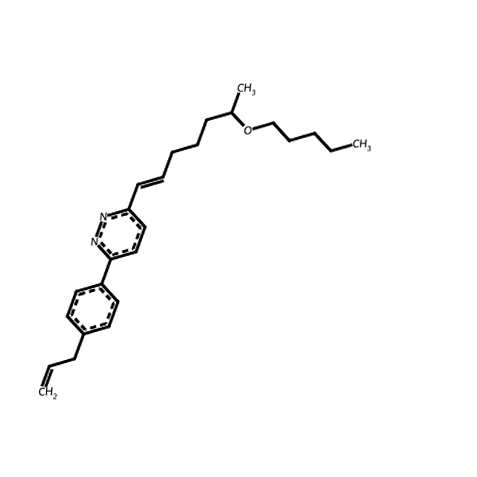 C=CCc1ccc(-c2ccc(C=CCCCC(C)OCCCCC)nn2)cc1